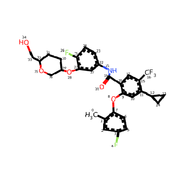 Cc1cc(F)ccc1Oc1cc(C2CC2)c(C(F)(F)F)cc1C(=O)Nc1ccc(F)c(OC2CCC(CO)OC2)c1